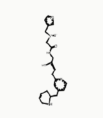 O=C(C[S+]([O-])Cc1ccoc1)NCC(O)=CCc1cc(CC2CC=CCN2)ccn1